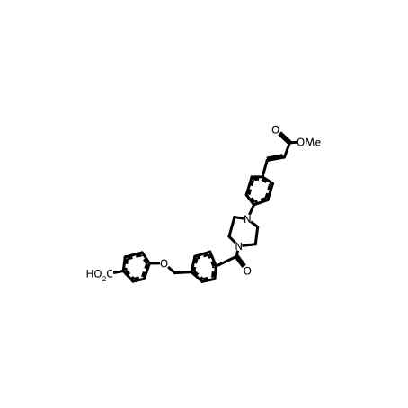 COC(=O)C=Cc1ccc(N2CCN(C(=O)c3ccc(COc4ccc(C(=O)O)cc4)cc3)CC2)cc1